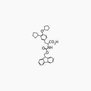 O=C(NC(Cc1ccc(OC2CCCC2)c(C2CCCC2)c1)C(=O)O)OCC1c2ccccc2-c2ccccc21